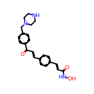 O=C(C=Cc1ccc(C=CC(=O)c2ccc(CN3CCNCC3)cc2)cc1)NO